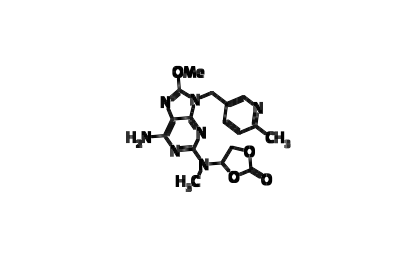 COc1nc2c(N)nc(N(C)C3COC(=O)O3)nc2n1Cc1ccc(C)nc1